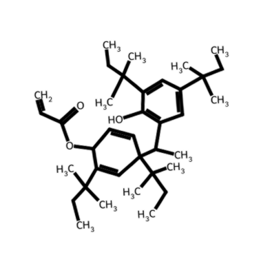 C=CC(=O)OC1C=CC(C(C)c2cc(C(C)(C)CC)cc(C(C)(C)CC)c2O)(C(C)(C)CC)C=C1C(C)(C)CC